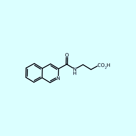 O=C(O)CCNC(=O)c1cc2ccccc2cn1